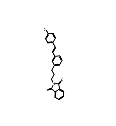 O=C1c2ccccc2C(=O)N1CCCc1cccc(C=Cc2ccc(Cl)cc2)c1